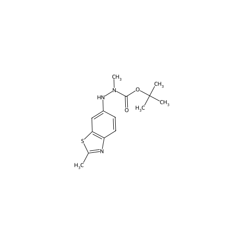 Cc1nc2ccc(NN(C)C(=O)OC(C)(C)C)cc2s1